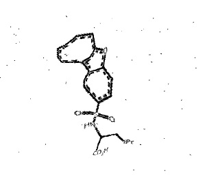 CC(C)CC(NS(=O)(=O)c1ccc2oc3ccccc3c2c1)C(=O)O